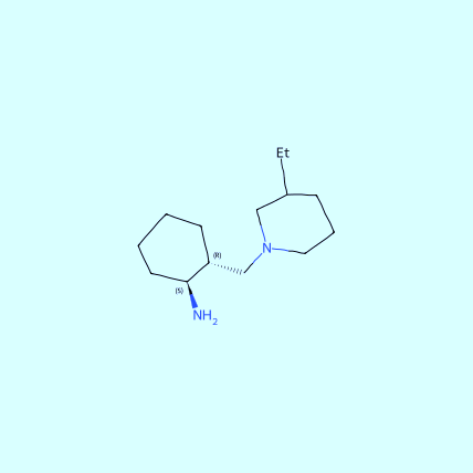 CCC1CCCN(C[C@H]2CCCC[C@@H]2N)C1